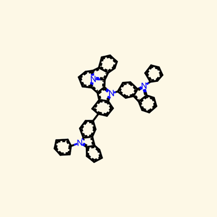 c1ccc(-n2c3ccccc3c3cc(-c4ccc5c(c4)c4c(c6c7ccccc7c7cccc4n76)n5-c4ccc5c(c4)c4ccccc4n5-c4ccccc4)ccc32)cc1